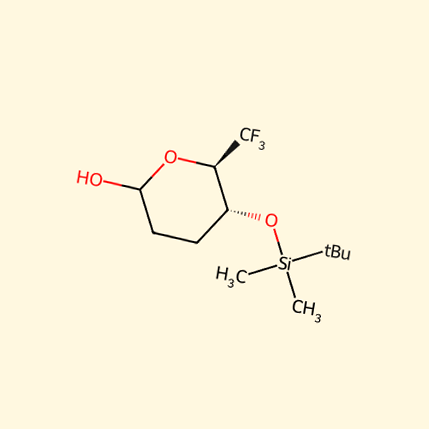 CC(C)(C)[Si](C)(C)O[C@@H]1CCC(O)O[C@H]1C(F)(F)F